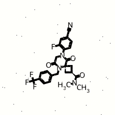 CN(C)C(=O)[C@H]1C[C@]2(C1)C(=O)N(c1ccc(C#N)cc1F)CC(=O)N2Cc1ccc(C(F)(F)F)cc1